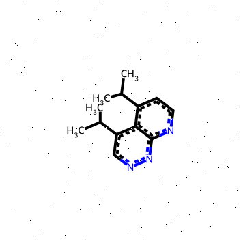 CC(C)c1ccnc2nncc(C(C)C)c12